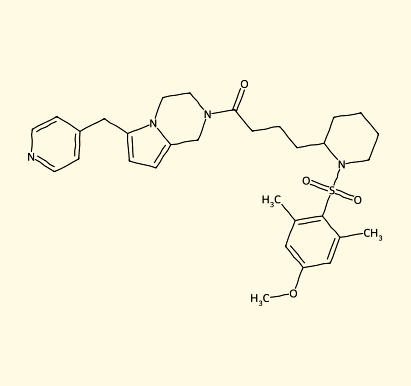 COc1cc(C)c(S(=O)(=O)N2CCCCC2CCCC(=O)N2CCn3c(Cc4ccncc4)ccc3C2)c(C)c1